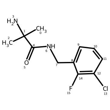 CC(C)(N)C(=O)NCc1cccc(Cl)c1F